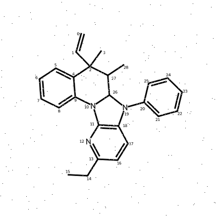 C=CC1(C)c2ccccc2N2c3nc(CC)ccc3N(c3ccccc3)C2C1C